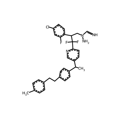 Cc1ccc(CCc2ccc(C(C)c3ccc(C(F)(F)C(CN(N)C=N)c4ccc(Cl)cc4F)nc3)cc2)cc1